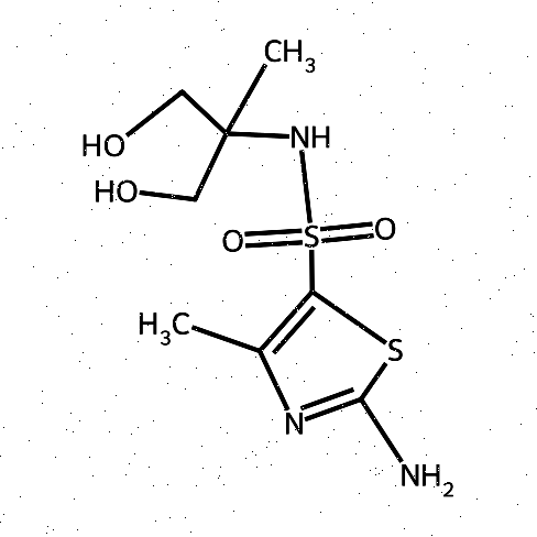 Cc1nc(N)sc1S(=O)(=O)NC(C)(CO)CO